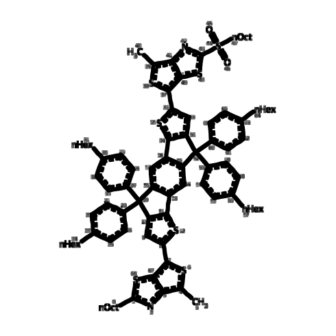 CCCCCCCCc1nc2c(C)sc(-c3cc4c(s3)-c3cc5c(cc3C4(c3ccc(CCCCCC)cc3)c3ccc(CCCCCC)cc3)-c3sc(-c4sc(C)c6nc(S(=O)(=O)CCCCCCCC)sc46)cc3C5(c3ccc(CCCCCC)cc3)c3ccc(CCCCCC)cc3)c2s1